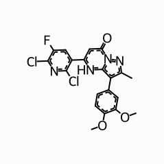 COc1ccc(-c2c(C)nn3c(=O)cc(-c4cc(F)c(Cl)nc4Cl)[nH]c23)cc1OC